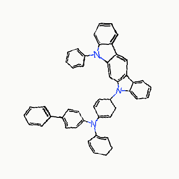 C1=CC(N(C2=CCC(n3c4ccccc4c4cc5c6ccccc6n(-c6ccccc6)c5cc43)C=C2)c2ccc(-c3ccccc3)cc2)=CCC1